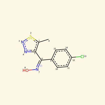 Cc1snnc1/C(=N\O)c1ccc(Cl)cc1